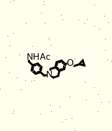 CC(=O)NCc1ccc(CN2CCc3cc(OCC4CC4)ccc3C2)cc1